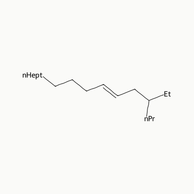 [CH2]CCCCCCCCC/C=C/CC(CC)CC[CH2]